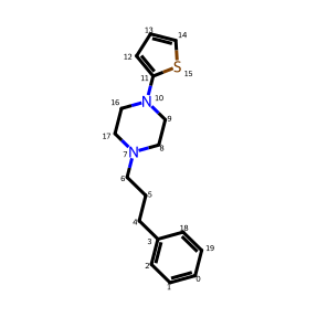 c1ccc(CCCN2CCN(c3cccs3)CC2)cc1